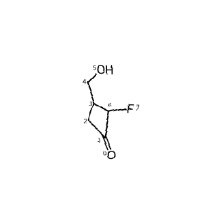 O=C1CC(CO)C1F